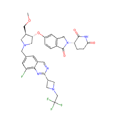 COC[C@@H]1CN(Cc2cc(F)c3nc(C4CN(CC(F)(F)F)C4)ncc3c2)C[C@H]1Oc1ccc2c(c1)CN([C@H]1CCC(=O)NC1=O)C2=O